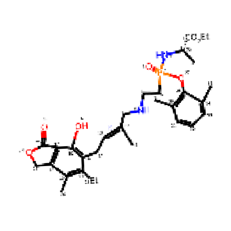 CCOC(=O)[C@H](C)NP(=O)(CCNC/C(C)=C/Cc1c(O)c2c(c(C)c1CC)COC2=O)Oc1c(C)cccc1C